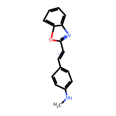 CNc1ccc(/C=C/c2nc3ccccc3o2)cc1